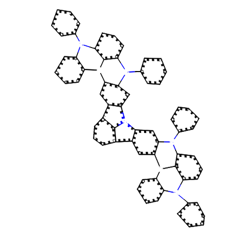 c1ccc(N2c3ccccc3B3c4cc5c6cccc7c8cc9c(cc8n(c5cc4N(c4ccccc4)c4cccc2c43)c67)N(c2ccccc2)c2cccc3c2B9c2ccccc2N3c2ccccc2)cc1